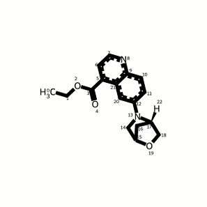 CCOC(=O)c1ccnc2ccc(N3CC4C[C@H]3CO4)cc12